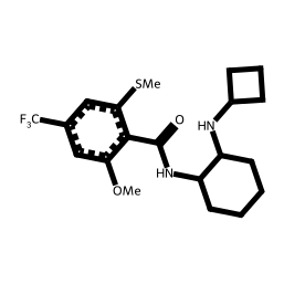 COc1cc(C(F)(F)F)cc(SC)c1C(=O)NC1CCCCC1NC1CCC1